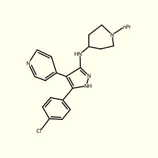 CCCN1CCC(Nc2n[nH]c(-c3ccc(Cl)cc3)c2-c2ccncc2)CC1